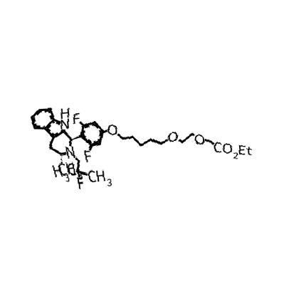 CCOC(=O)COCCOCCCCCOc1cc(F)c([C@@H]2c3[nH]c4ccccc4c3C[C@@H](C)N2CC(C)(C)F)c(F)c1